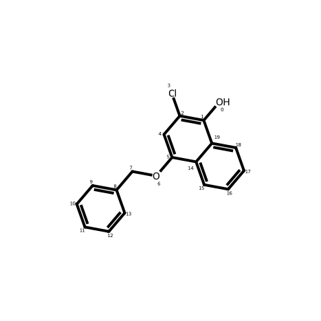 Oc1c(Cl)cc(OCc2ccccc2)c2ccccc12